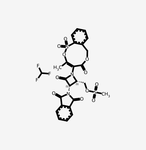 CC1=C(N2C(=O)[C@@H](N3C(=O)c4ccccc4C3=O)[C@H]2COS(C)(=O)=O)C(=O)OCc2ccccc2S(=O)(=O)O1.FC(F)F